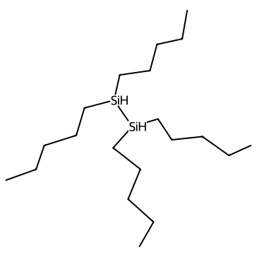 CCCCC[SiH](CCCCC)[SiH](CCCCC)CCCCC